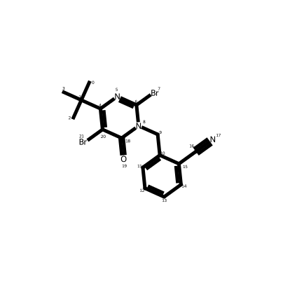 CC(C)(C)c1nc(Br)n(Cc2ccccc2C#N)c(=O)c1Br